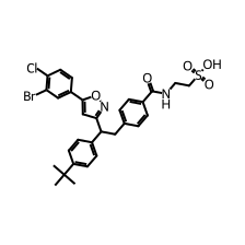 CC(C)(C)c1ccc(C(Cc2ccc(C(=O)NCCS(=O)(=O)O)cc2)c2cc(-c3ccc(Cl)c(Br)c3)on2)cc1